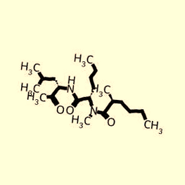 CCCC[C@H](C)C(=O)N(C)[C@@H](CCCC)C(=O)N[C@@H](CC(C)C)C(C)=O